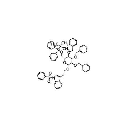 CC(C)(C)[Si](OC[C@H]1O[C@@H](OCCc2cn(S(=O)(=O)c3ccccc3)c3ccccc23)[C@H](OCc2ccccc2)[C@@H](OCc2ccccc2)[C@@H]1OCc1ccccc1)(c1ccccc1)c1ccccc1